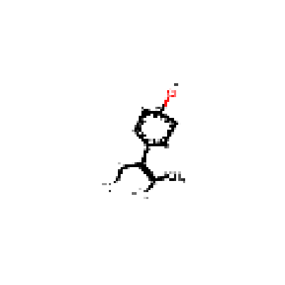 [CH2]CC(=C(C)C)c1ccc(O)cc1